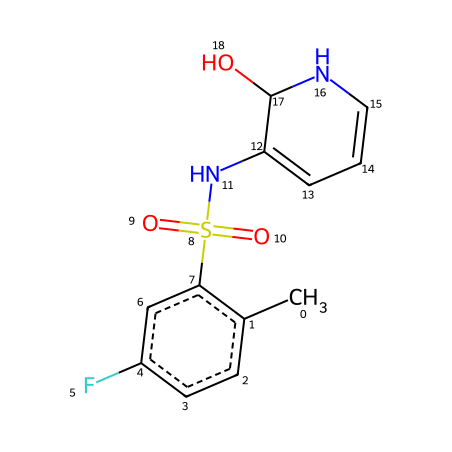 Cc1ccc(F)cc1S(=O)(=O)NC1=CC=CNC1O